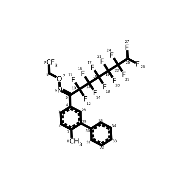 Cc1ccc(C(=NOCC(F)(F)F)C(F)(F)C(F)(F)C(F)(F)C(F)(F)C(F)(F)C(F)F)cc1-c1ccccc1